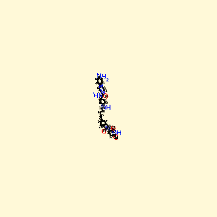 Nc1ccc(N2CCN(C(=O)N[C@H]3CC[C@@H](NCCCC#Cc4ccc5c(c4)CN(C4CCC(=O)NC4=O)C5=O)CC3)CC2)cc1